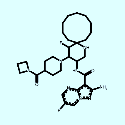 Nc1nn2cc(F)cnc2c1C(=O)NC1CNC2(CCCCCCCCC2)C(F)C1N1CCC(C(=O)N2CCC2)CC1